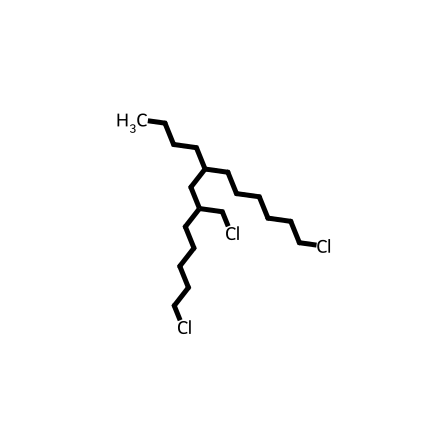 CCCCC(CCCCCCCl)CC(CCl)CCCCCCl